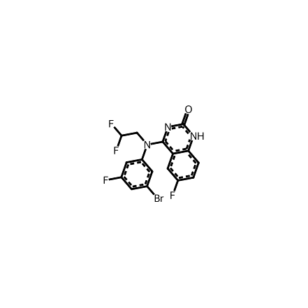 O=c1nc(N(CC(F)F)c2cc(F)cc(Br)c2)c2cc(F)ccc2[nH]1